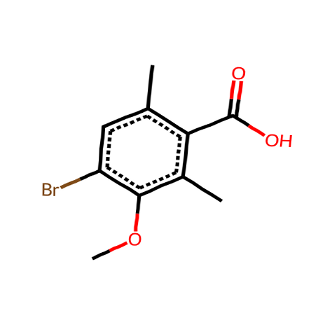 COc1c(Br)cc(C)c(C(=O)O)c1C